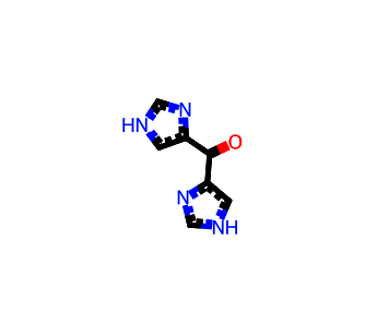 O=C(c1c[nH]cn1)c1c[nH]cn1